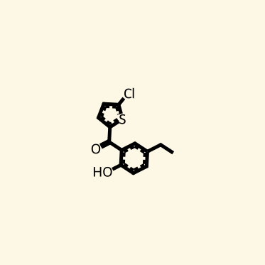 CCc1ccc(O)c(C(=O)c2ccc(Cl)s2)c1